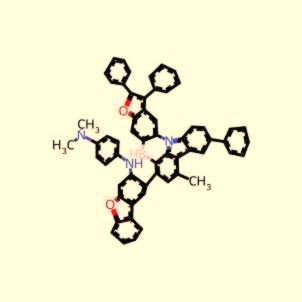 Cc1cc(-c2cc3c(cc2Nc2ccc(N(C)C)cc2)oc2ccccc23)c2c3c1c1cc(-c4ccccc4)ccc1n3-c1cc3c(-c4ccccc4)c(-c4ccccc4)oc3cc1B2